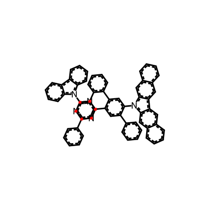 c1ccc(-c2nc(-c3cc(-c4ccccc4)c(-n4c5cc6ccccc6cc5c5cc6ccccc6cc54)cc3-c3ccccc3-c3ccccc3)nc(-n3c4ccccc4c4ccccc43)n2)cc1